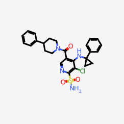 NS(=O)(=O)c1ncc(C(=O)N2CCC(c3ccccc3)CC2)c(NC2(c3ccccc3)CC2)c1Cl